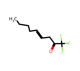 CCCC/C=C/CC(=O)C(F)(F)F